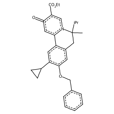 CCOC(=O)c1cn2c(cc1=O)-c1cc(C3CC3)c(OCc3ccccc3)cc1CC2(C)C(C)C